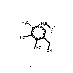 BCl.Cc1ncc(CO)c(C=O)c1O